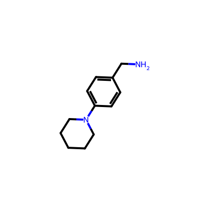 NCc1ccc(N2CCCCC2)cc1